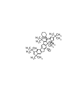 CC1C=C(C(C)(C)C)C=[C]1[Zr+2]([C]1=C(C(C)(C)C)c2cc3c(cc2C1(C)C)Cc1cc2c(cc1-3)C(C(C)(C)C)=CC2(C)C)=[C]1CCCCC1.[Cl-].[Cl-]